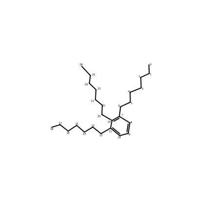 CCCCCCCc1c[c]cc(CCCCCCC)c1CCCCCCC